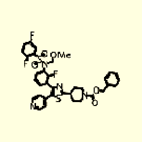 COCN(c1cccc(-c2nc(C3CCN(C(=O)OCc4ccccc4)CC3)sc2-c2ccncc2)c1F)S(=O)(=O)c1cc(F)ccc1F